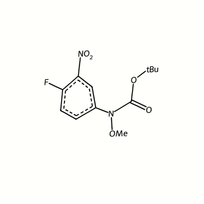 CON(C(=O)OC(C)(C)C)c1ccc(F)c([N+](=O)[O-])c1